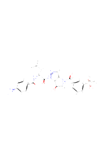 CC(C)C[C@H](NC(=O)c1ccc(N)cc1)C(=O)N1NCC2C1C(=O)CN2C(=O)c1cccc(S(C)(=O)=O)c1